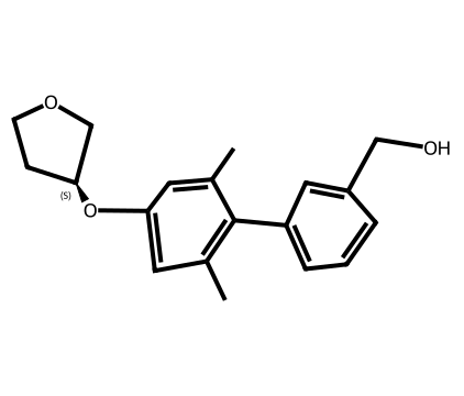 Cc1cc(O[C@H]2CCOC2)cc(C)c1-c1cccc(CO)c1